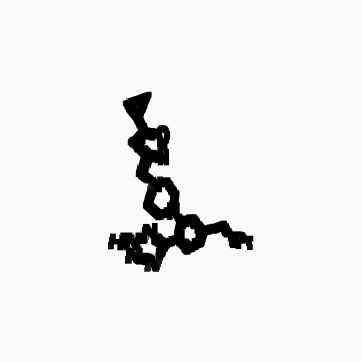 CC(C)Cc1ccc(-c2nn[nH]n2)c(N2CCN(Cc3cc(C4CC4)on3)CC2)c1